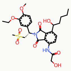 CCCCC(O)c1ccc(NC(=O)CO)c2c1C(=O)N([C@H](CS(C)(=O)=O)c1ccc(OC)c(OCC)c1)C2=O